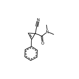 CN(C)C(=O)C1(C#N)C=C1c1ccccc1